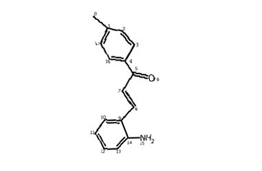 Cc1ccc(C(=O)C=Cc2ccccc2N)cc1